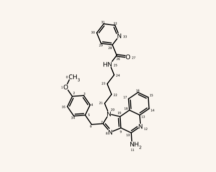 COc1ccc(Cc2nc3c(N)nc4ccccc4c3n2CCCCNC(=O)c2ccccn2)cc1